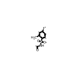 Cc1cc(F)ccc1S(=O)(=O)NC=O